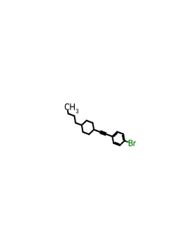 CCCCC1CCC(C#Cc2ccc(Br)cc2)CC1